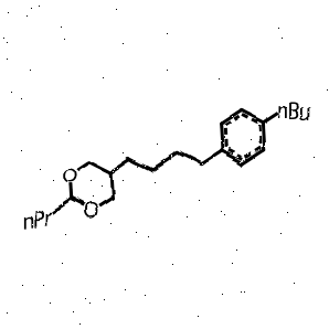 CCCCc1ccc(CCCCC2COC(CCC)OC2)cc1